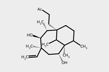 C=C[C@]1(C)C[C@@H](O)[C@]2(C)C(C)CC[C@@](CCC(C)=O)(C2C)[C@@H](C)[C@@H]1O